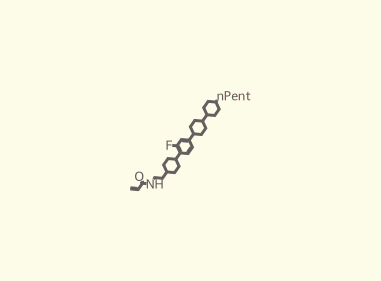 C=CC(=O)NCCC1CCC(c2ccc(C3CCC(C4CCC(CCCCC)CC4)CC3)cc2F)CC1